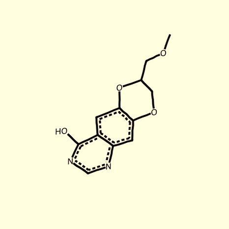 COCC1COc2cc3ncnc(O)c3cc2O1